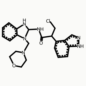 O=C(NC1Nc2ccccc2N1CN1CCOCC1)C(CCl)c1cccc2[nH]ncc12